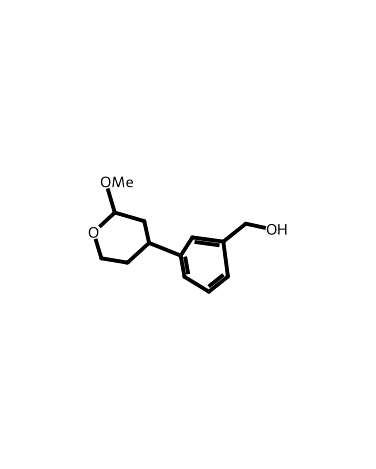 COC1CC(c2cccc(CO)c2)CCO1